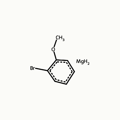 COc1ccccc1Br.[MgH2]